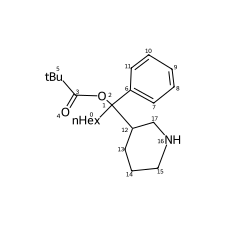 CCCCCCC(OC(=O)C(C)(C)C)(c1ccccc1)C1CCCNC1